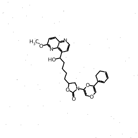 COc1ccc2nccc(C(O)CCCCC3CN(C4=COC=C(C5=CC=CCC5)O4)C(=O)O3)c2n1